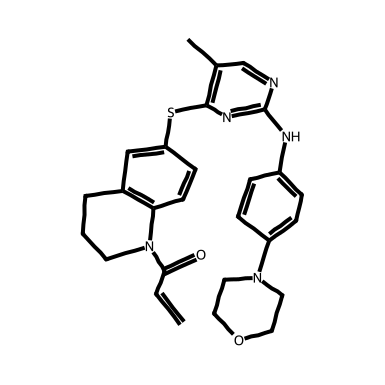 C=CC(=O)N1CCCc2cc(Sc3nc(Nc4ccc(N5CCOCC5)cc4)ncc3C)ccc21